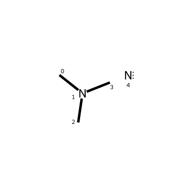 CN(C)C.[N]